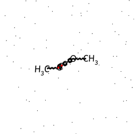 CCCCCC=CCOc1ccc(-c2ccc(C34CCC(CCCCCCC)(CC3)CC4)cc2)cc1